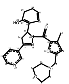 Cc1cc(CN2CCOCC2)oc1C(=O)N1N=C(c2cccnc2)CC1C1=C(O)CCC=C1